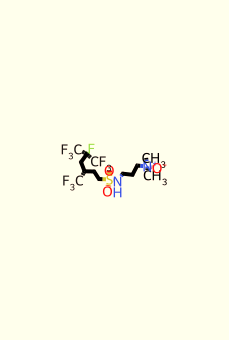 C[N+](C)([O-])CCCNS(=O)(=O)CCC(CC(F)(C(F)(F)F)C(F)(F)F)C(F)(F)F